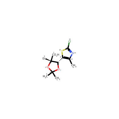 CC[C@]1(C(=O)O)OC(C)(C)O[C@H]1c1sc(Cl)nc1C